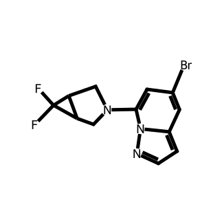 FC1(F)C2CN(c3cc(Br)cc4ccnn34)CC21